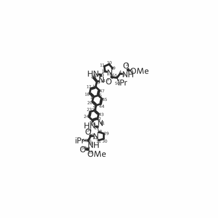 COC(=O)NC[C@H](C(=O)N1CCC[C@H]1c1nc(-c2ccc3cc(-c4ccc5[nH]c([C@@H]6CCCN6C(=O)[C@@H](NC(=O)OC)C(C)C)nc5c4)ccc3c2)c[nH]1)C(C)C